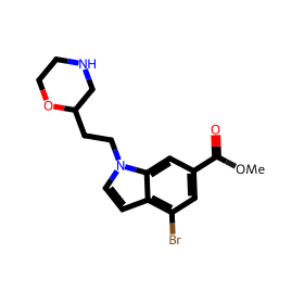 COC(=O)c1cc(Br)c2ccn(CCC3CNCCO3)c2c1